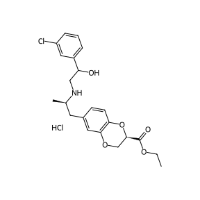 CCOC(=O)[C@H]1COc2cc(C[C@@H](C)NCC(O)c3cccc(Cl)c3)ccc2O1.Cl